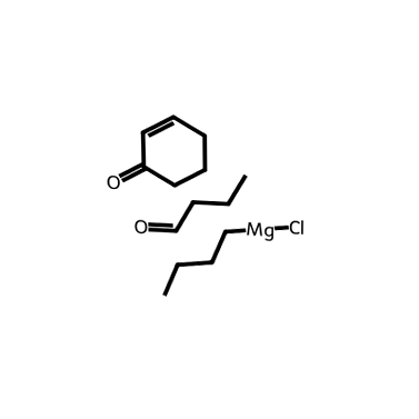 CCCC=O.CCC[CH2][Mg][Cl].O=C1C=CCCC1